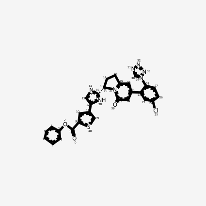 O=C(Oc1ccccc1)c1cc(-c2cnc([C@@H]3CCc4cc(-c5cc(Cl)ccc5-n5cnnn5)cc(=O)n43)[nH]2)cs1